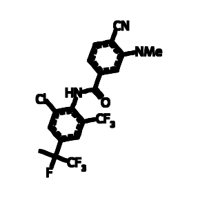 CNc1cc(C(=O)Nc2c(Cl)cc(C(C)(F)C(F)(F)F)cc2C(F)(F)F)ccc1C#N